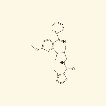 COc1ccc2c(c1)N(C)C(CNC(=O)c1cccn1C)CN=C2c1ccccc1